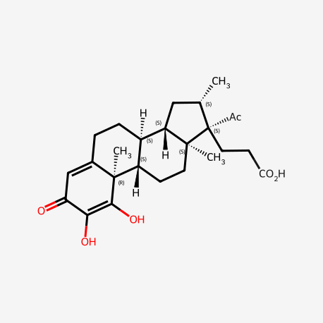 CC(=O)[C@@]1(CCC(=O)O)[C@@H](C)C[C@H]2[C@@H]3CCC4=CC(=O)C(O)=C(O)[C@]4(C)[C@H]3CC[C@@]21C